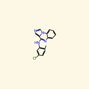 Cc1ccc(Cl)cc1Nc1nc2ccccc2n2cncc12